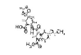 CCOc1ccc2c(c1)c(C(=O)Nc1ccc(-c3ccco3)cc1C(=O)O)cn2C(C)=O